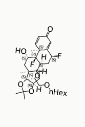 CCCCCCOCC(=O)[C@@]12OC(C)(C)O[C@@H]1C[C@H]1[C@@H]3C[C@H](F)C4=CC(=O)C=C[C@]4(C)[C@@]3(F)[C@@H](O)C[C@@]12C